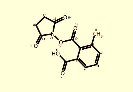 Cc1cccc(C(=O)O)c1C(=O)ON1C(=O)CCC1=O